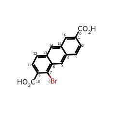 O=C(O)c1ccc2cc3c(Br)c(C(=O)O)ccc3cc2c1